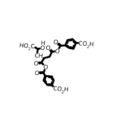 CC(O)C(=O)O.O=C(CCC(=O)OC(=O)c1ccc(C(=O)O)cc1)OC(=O)c1ccc(C(=O)O)cc1